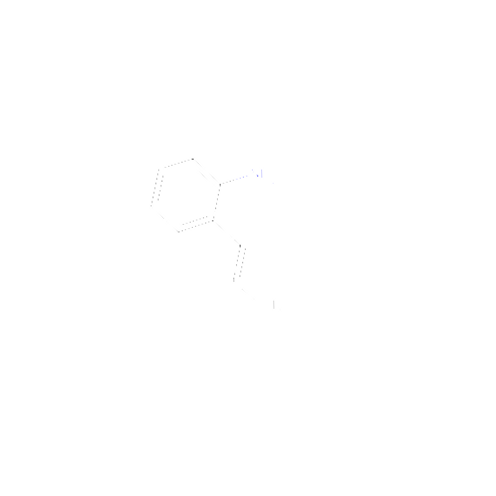 CC=Cc1ccccc1N